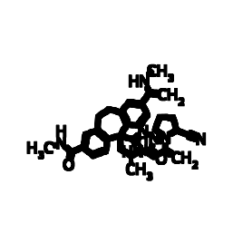 C=C(NC)c1ccc2c(c1)CCc1cc(C(=O)NC)ccc1C2(C[C@H](C)NCC(=C)N1CCCC1C#N)c1n[nH]c(=O)[nH]1